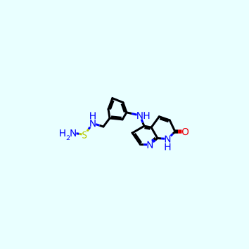 NSNCc1cccc(Nc2ccnc3[nH]c(=O)ccc23)c1